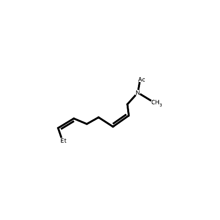 CC/C=C\CC/C=C\CN(C)C(C)=O